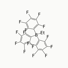 CC[B-](c1c(F)c(F)c(F)c(F)c1F)(c1c(F)c(F)c(F)c(F)c1F)c1c(F)c(F)c(F)c(F)c1F